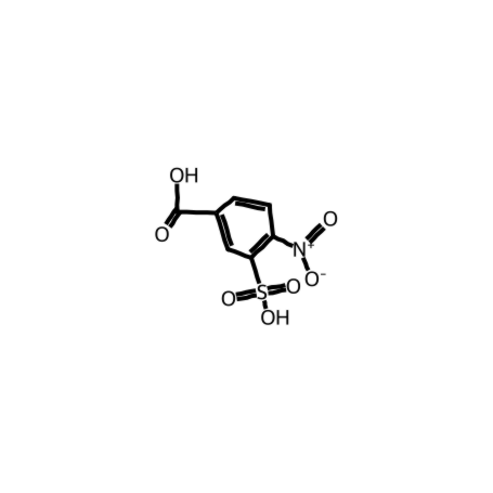 O=C(O)c1ccc([N+](=O)[O-])c(S(=O)(=O)O)c1